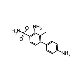 Cc1c(-c2ccc(N)cc2)ccc(S(N)(=O)=O)c1N